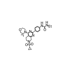 CCNC(=O)Nc1ccc(-c2nc3c(c(N4CCOC[C@@H]4C)n2)CCN(S(=O)(=O)C2CC2)C3)cc1